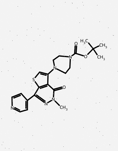 Cn1nc(-c2ccncc2)c2scc(N3CCN(C(=O)OC(C)(C)C)CC3)c2c1=O